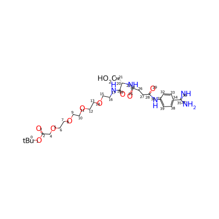 CC(C)(C)OC(=O)COCCOCCOCCOCCNC(=O)[C@H](CC(=O)O)NC(=O)CCC(=O)Nc1ccc(C(=N)N)cc1